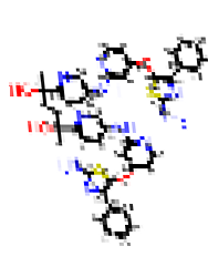 CC(O)(CCC(C)(O)c1ccc(Nc2cc(Oc3sc(N)nc3-c3ccccc3)ccn2)cn1)c1ccc(Nc2cc(Oc3sc(N)nc3-c3ccccc3)ccn2)cn1